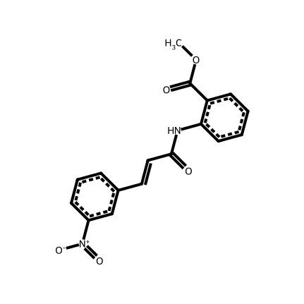 COC(=O)c1ccccc1NC(=O)C=Cc1cccc([N+](=O)[O-])c1